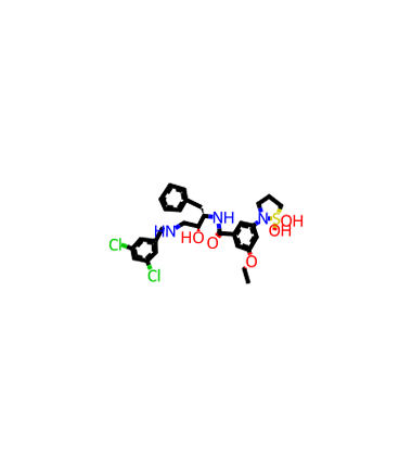 CCOc1cc(C(=O)N[C@@H](Cc2ccccc2)[C@@H](O)CNCc2cc(Cl)cc(Cl)c2)cc(N2CCCS2(O)O)c1